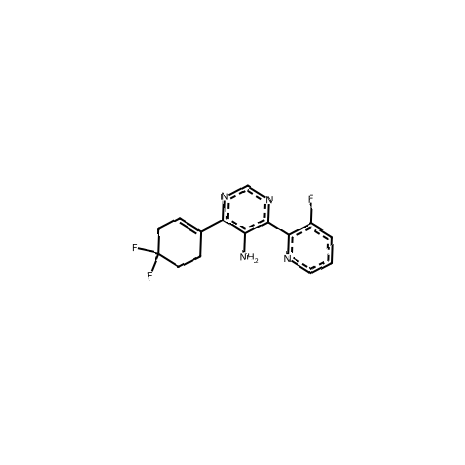 Nc1c(C2=CCC(F)(F)CC2)ncnc1-c1ncccc1F